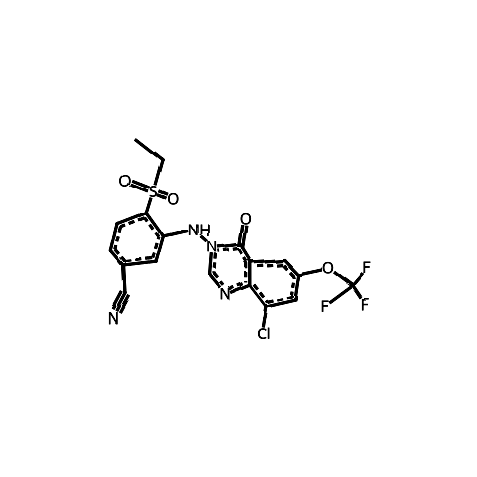 CCS(=O)(=O)c1ccc(C#N)cc1Nn1cnc2c(Cl)cc(OC(F)(F)F)cc2c1=O